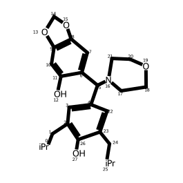 CC(C)Cc1cc(C(c2cc3c(cc2O)OCO3)N2CCOCC2)cc(CC(C)C)c1O